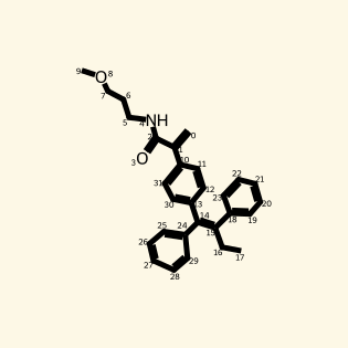 C=C(C(=O)NCCCOC)c1ccc(C(=C(CC)c2ccccc2)c2ccccc2)cc1